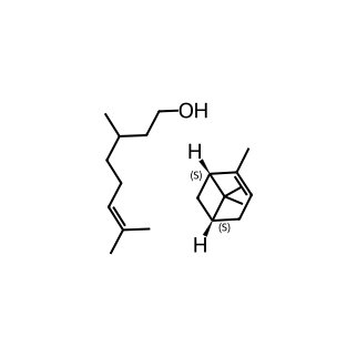 CC(C)=CCCC(C)CCO.CC1=CC[C@@H]2C[C@H]1C2(C)C